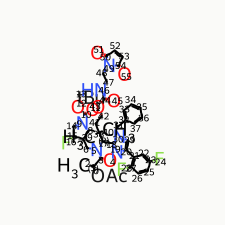 CC(=O)O[C@@H](C)C(=O)N(CC1CN(C(=O)OC(C)(C)C)CC1F)[C@@H](c1nc(-c2cc(F)ccc2F)cn1Cc1ccccc1)C(C)(C)CCOC(=O)NCCN1C(=O)C=CC1=O